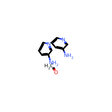 C=O.Nc1cccnc1.Nc1cccnc1